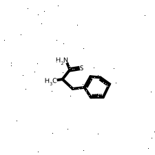 CC(Cc1ccccc1)C(N)=S